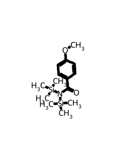 COc1ccc(C(=O)N([Si](C)(C)C)[Si](C)(C)C)cc1